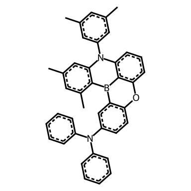 Cc1cc(C)cc(N2c3cc(C)cc(C)c3B3c4cc(N(c5ccccc5)c5ccccc5)ccc4Oc4cccc2c43)c1